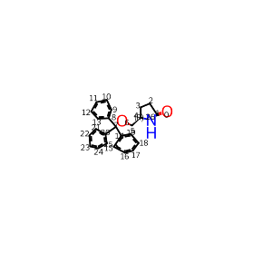 O=C1CC[C@H](COC(c2ccccc2)(c2ccccc2)c2ccccc2)N1